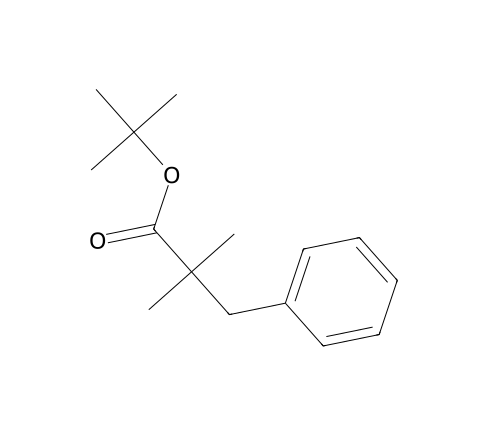 CC(C)(C)OC(=O)C(C)(C)Cc1ccccc1